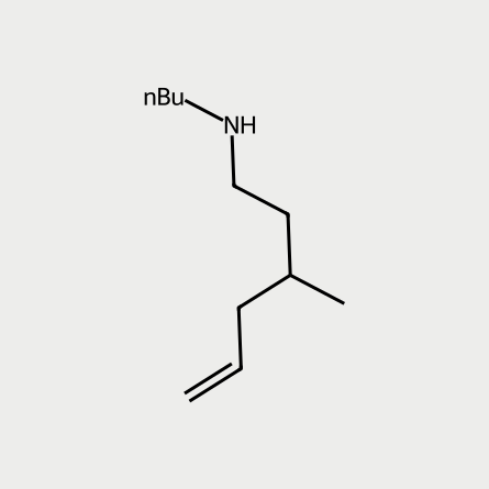 C=CCC(C)CCNCCCC